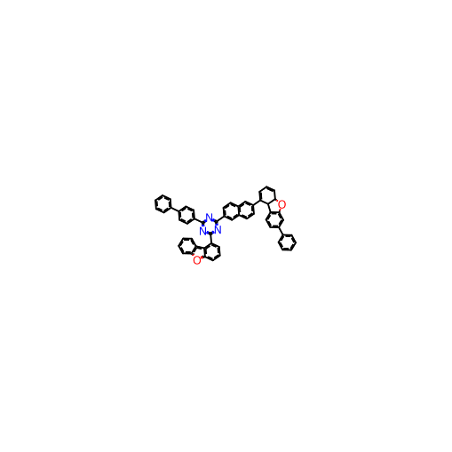 C1=CC2Oc3cc(-c4ccccc4)ccc3C2C(c2ccc3cc(-c4nc(-c5ccc(-c6ccccc6)cc5)nc(-c5cccc6oc7ccccc7c56)n4)ccc3c2)=C1